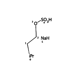 CC(C)CCOS(=O)(=O)O.[NaH]